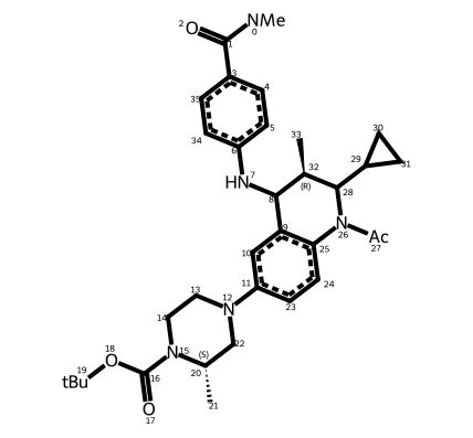 CNC(=O)c1ccc(NC2c3cc(N4CCN(C(=O)OC(C)(C)C)[C@@H](C)C4)ccc3N(C(C)=O)C(C3CC3)[C@@H]2C)cc1